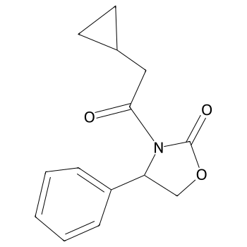 O=C(CC1CC1)N1C(=O)OCC1c1ccccc1